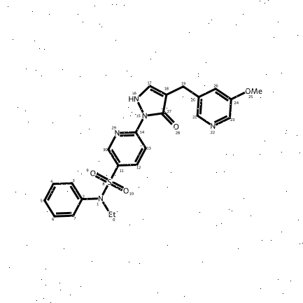 CCN(c1ccccc1)S(=O)(=O)c1ccc(-n2[nH]cc(Cc3cncc(OC)c3)c2=O)nc1